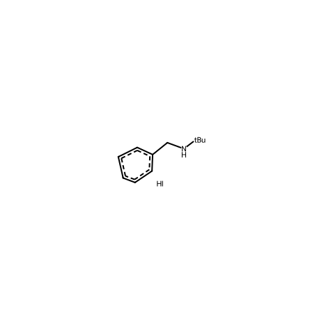 CC(C)(C)NCc1ccccc1.I